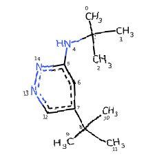 CC(C)(C)Nc1cc(C(C)(C)C)cnn1